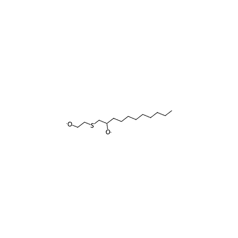 CCCCCCCCCC([O])CSCC[O]